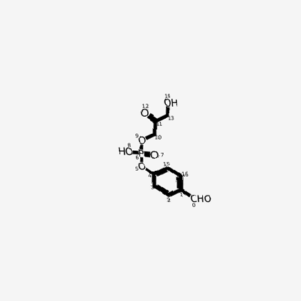 O=Cc1ccc(OP(=O)(O)OCC(=O)CO)cc1